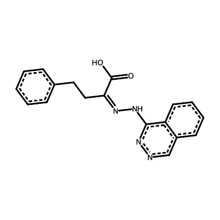 O=C(O)/C(CCc1ccccc1)=N\Nc1nncc2ccccc12